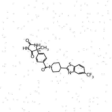 C[C@]1(c2ccc(C(=O)N3CCC(c4nc5cc(C(F)(F)F)ccc5s4)CC3)cc2)NC(=O)NC1=O